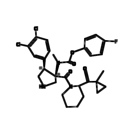 CN(C(=O)Oc1ccc(F)cc1)[C@@]1(C(=O)N2CCCCC2C(=O)C2(C)CC2)CNC[C@H]1c1ccc(Cl)c(Cl)c1